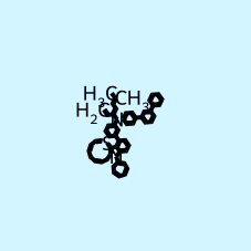 C=C/C(=C\C=C(C)C)N(c1ccc(-c2cccc(-c3ccccc3)c2)cc1)c1cccc(-c2cccc3c2c2c(n3C3=CC=CC=CC3)C/C=C\C/C=C\C=C/S2)c1